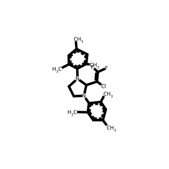 Cc1cc(C)c(N2CCN(c3c(C)cc(C)cc3C)C2C(Cl)=C(F)F)c(C)c1